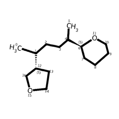 CC(CCC(C)[C@@H]1CCCCO1)[C@@H]1CCOC1